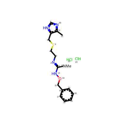 CN/C(=N\CCSCc1[nH]cnc1C)NOCc1ccccc1.Cl.Cl